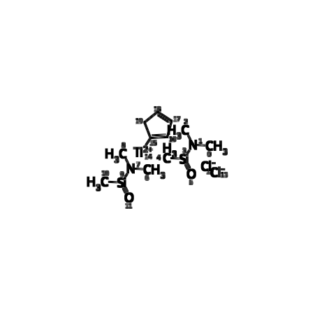 CN(C)[Si](C)=O.CN(C)[Si](C)=O.[Cl-].[Cl-].[Ti+2][C]1=CC=CC1